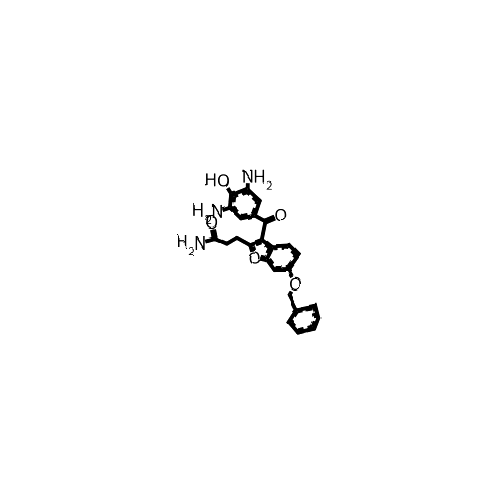 NC(=O)CCc1oc2cc(OCc3ccccc3)ccc2c1C(=O)c1cc(N)c(O)c(N)c1